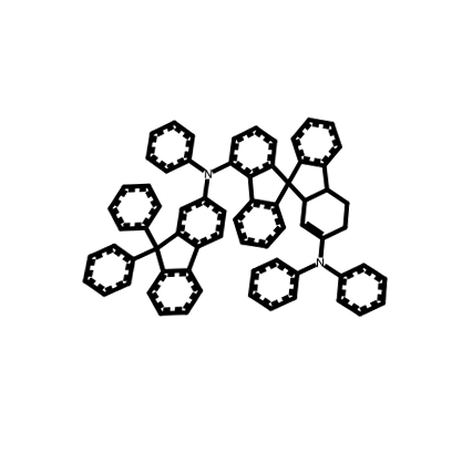 C1=C(N(c2ccccc2)c2ccccc2)CCC2c3ccccc3C3(c4ccccc4-c4c(N(c5ccccc5)c5ccc6c(c5)C(c5ccccc5)(c5ccccc5)c5ccccc5-6)cccc43)C12